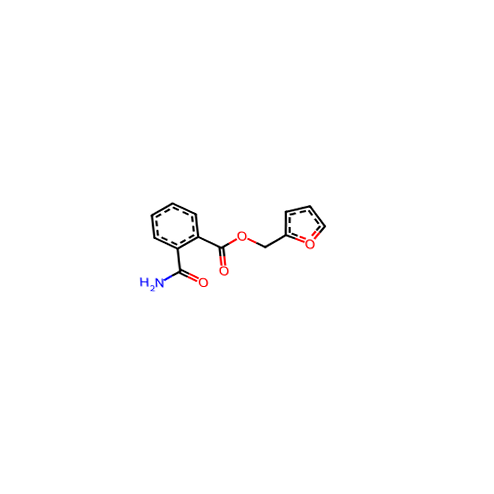 NC(=O)c1ccccc1C(=O)OCc1ccco1